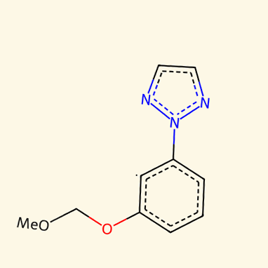 COCOc1[c]c(-n2nccn2)ccc1